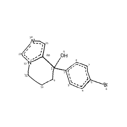 OC1(c2ccc(Br)cc2)CCCn2cncc21